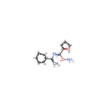 C=C(/N=C(\ON)c1ccco1)c1ccccc1